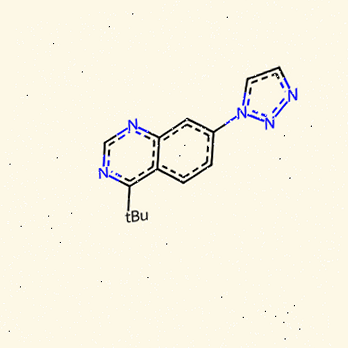 CC(C)(C)c1ncnc2cc(-n3ccnn3)ccc12